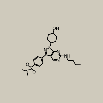 CCCCNc1ncc2c(-c3ccc(S(=O)(=O)N(C)C)cc3)nn(C3CCC(O)CC3)c2n1